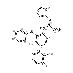 Cc1cccc(-c2cnc(N/C(=C\c3ccco3)C(=O)O)c(Cc3ccccc3F)n2)c1F